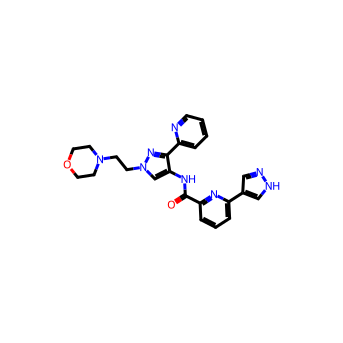 O=C(Nc1cn(CCN2CCOCC2)nc1-c1ccccn1)c1cccc(-c2cn[nH]c2)n1